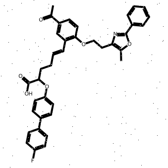 CC(=O)c1ccc(OCCc2nc(-c3ccccc3)oc2C)c(C=CCCC(Oc2ccc(-c3ccc(F)cc3)cc2)C(=O)O)c1